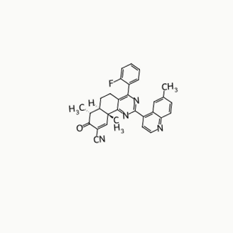 Cc1ccc2nccc(-c3nc(-c4ccccc4F)c4c(n3)[C@]3(C)C=C(C#N)C(=O)[C@H](C)[C@H]3CC4)c2c1